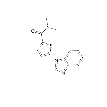 CN(C)C(=O)c1ccc(-n2cnc3ccccc32)s1